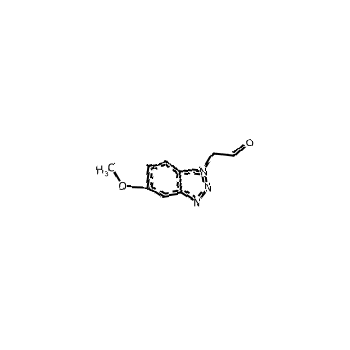 COc1ccc2c(c1)nnn2CC=O